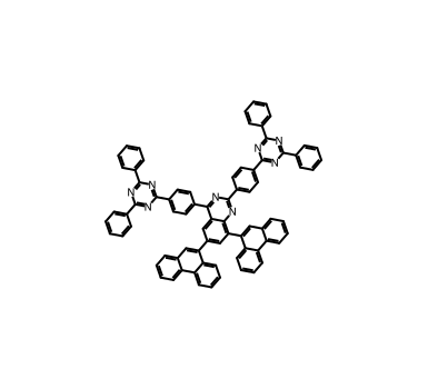 c1ccc(-c2nc(-c3ccccc3)nc(-c3ccc(-c4nc(-c5ccc(-c6nc(-c7ccccc7)nc(-c7ccccc7)n6)cc5)c5cc(-c6cc7ccccc7c7ccccc67)cc(-c6cc7ccccc7c7ccccc67)c5n4)cc3)n2)cc1